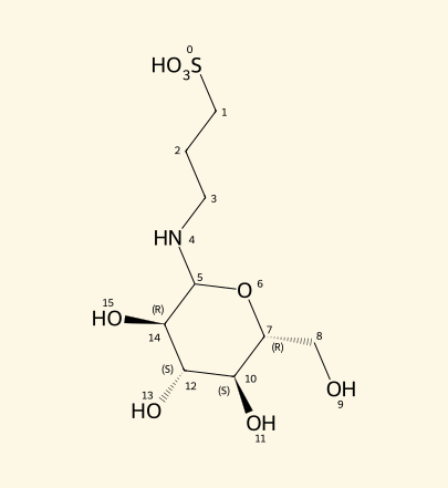 O=S(=O)(O)CCCNC1O[C@H](CO)[C@@H](O)[C@H](O)[C@H]1O